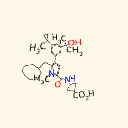 Cn1c(C(=O)N[C@H]2C[C@H](C(=O)O)C2)cc(-c2cc(C(C)(C)O)cc(C3(C)CC3)c2)c1CC1CCCCCCC1